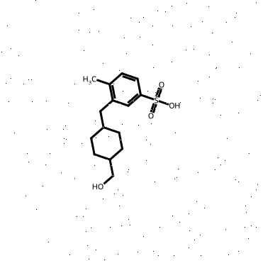 Cc1ccc(S(=O)(=O)O)cc1CC1CCC(CO)CC1